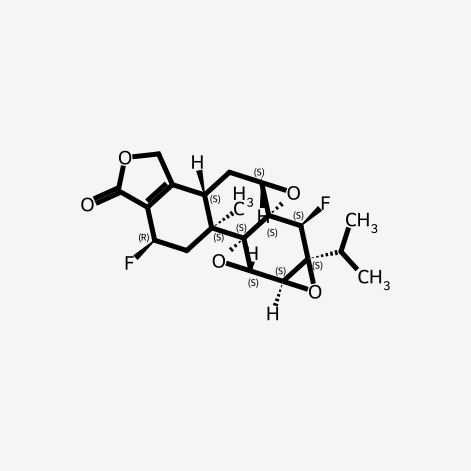 CC(C)[C@]12O[C@H]1[C@@H]1O[C@]13[C@]1(O[C@H]1C[C@H]1C4=C(C(=O)OC4)[C@H](F)C[C@@]13C)[C@H]2F